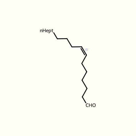 CCCCCCCCCC/C=C\CCCCCC=O